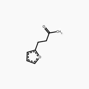 CC(=O)C[CH]c1ccco1